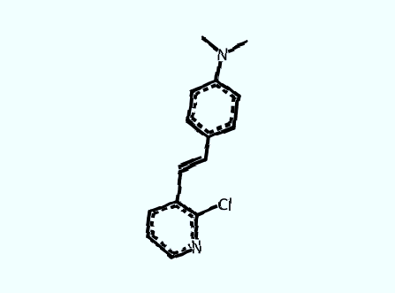 CN(C)c1ccc(/C=C/c2cccnc2Cl)cc1